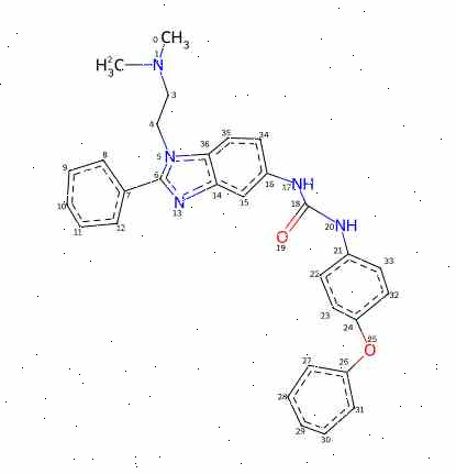 CN(C)CCn1c(-c2ccccc2)nc2cc(NC(=O)Nc3ccc(Oc4ccccc4)cc3)ccc21